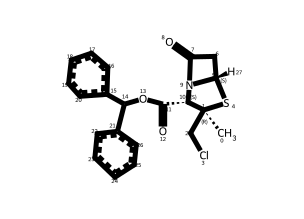 C[C@@]1(CCl)S[C@H]2CC(=O)N2[C@H]1C(=O)OC(c1ccccc1)c1ccccc1